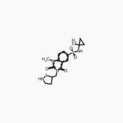 Cn1c(=O)n(CC2CCNS2)c(=O)c2cc(S(=O)(=O)NC3(C)CC3)ccc21